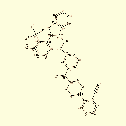 N#Cc1cccnc1N1CCN(C(=O)c2cccc(OC[C@H]3c4ccccc4CN3c3cn[nH]c(=O)c3C(F)(F)F)c2)CC1